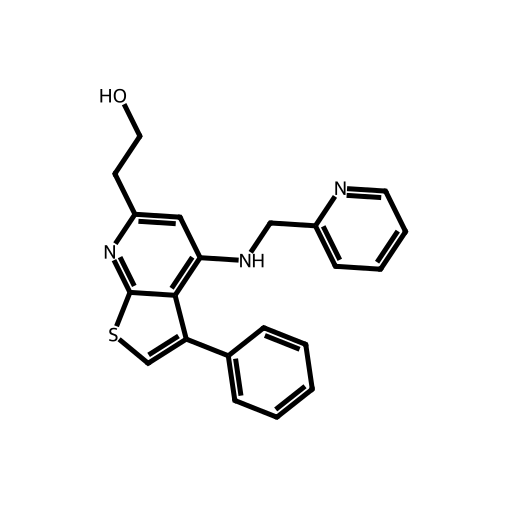 OCCc1cc(NCc2ccccn2)c2c(-c3ccccc3)csc2n1